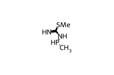 CPNC(=N)SC